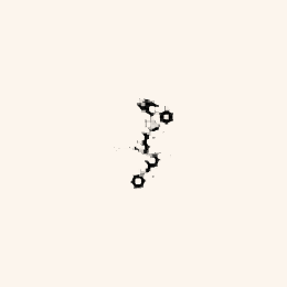 CNc1nc(-c2c[nH]c(C(=O)Nc3cccc(F)c3N3CCC4(CCNC4)CC3)n2)cc(N2CC(C(=O)NC3CCCCC3)CCC2C)n1